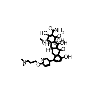 CN(C)CCCOC1=NCC(c2ccc(O)c3c2C[C@H]2C[C@H]4[C@H](N(C)C)C(O)=C(C(N)=O)C(=O)[C@@]4(O)C(O)=C2C3=O)C=C1